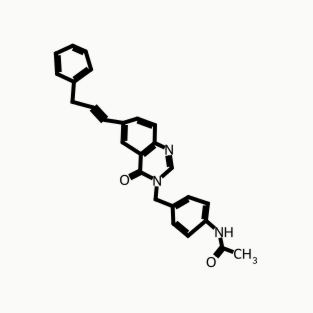 CC(=O)Nc1ccc(Cn2cnc3ccc(C#CCc4ccccc4)cc3c2=O)cc1